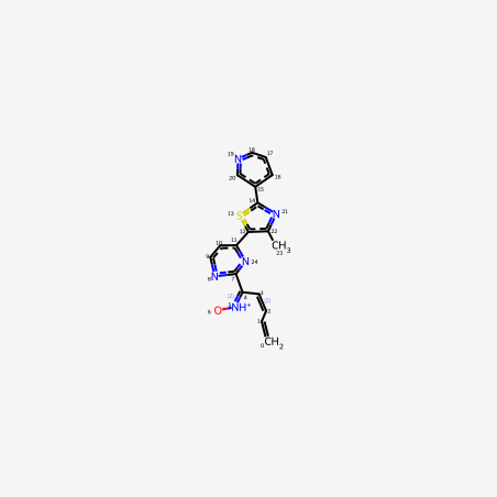 C=C/C=C\C(=[NH+]\[O-])c1nccc(-c2sc(-c3cccnc3)nc2C)n1